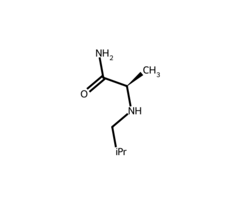 CC(C)CN[C@H](C)C(N)=O